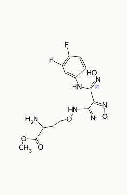 COC(=O)C(N)CCONc1nonc1/C(=N/O)Nc1ccc(F)c(F)c1